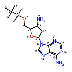 CC(C)(C)[Si](C)(C)OCC1OC(n2cnc3c(N)ncnc32)CC1N